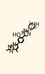 Cc1nc2c(C)cc(-c3ccc(-c4cnc(N5C[C@@H](C)N[C@@H](C)C5)nn4)c(O)c3)nn2n1